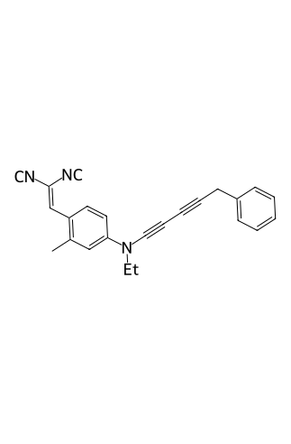 [C-]#[N+]C(=Cc1ccc(N(C#CC#CCc2ccccc2)CC)cc1C)[N+]#[C-]